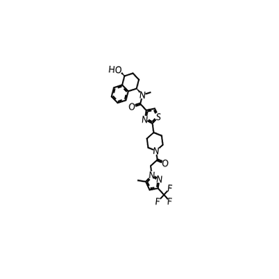 Cc1cc(C(F)(F)F)nn1CC(=O)N1CCC(c2nc(C(=O)N(C)[C@@H]3CC[C@H](O)c4ccccc43)cs2)CC1